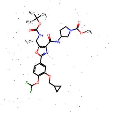 COC(=O)N1CCC(NC(=O)c2nc(-c3ccc(OC(F)F)c(OCC4CC4)c3)oc2[C@H](C)NC(=O)OC(C)(C)C)C1